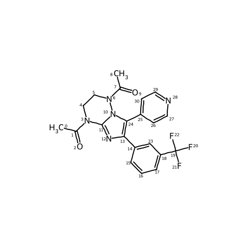 CC(=O)N1CCN(C(C)=O)n2c1nc(-c1cccc(C(F)(F)F)c1)c2-c1ccncc1